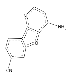 N#Cc1ccc2c(c1)oc1c(N)ccnc12